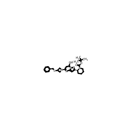 CC(C)(C)OC(=O)N1CCCC[C@H]1c1cc2nc(N3CC(OCc4ccccc4)C3)cc(O)n2n1